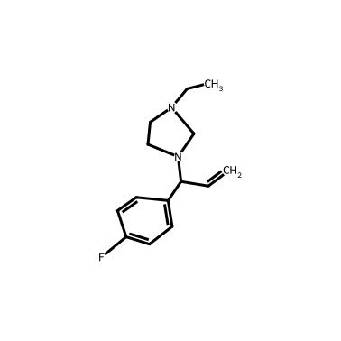 C=CC(c1ccc(F)cc1)N1CCN(CC)C1